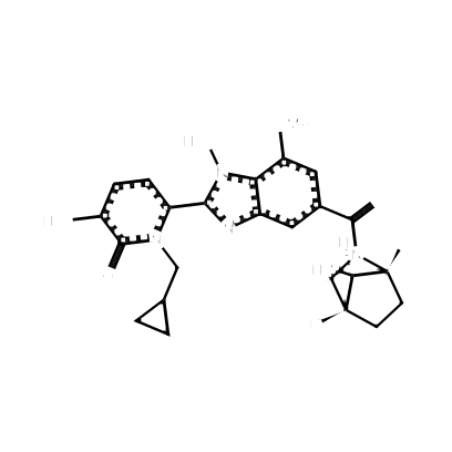 COc1cc(C(=O)N2C[C@H]3CC[C@@H]2[C@@H]3N)cc2nc(-c3ccc(C)c(=O)n3CC3CC3)n(C)c12